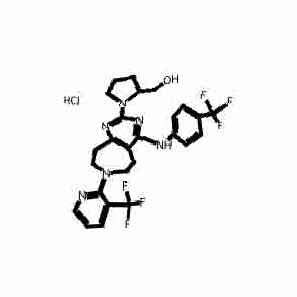 Cl.OCC1CCCN1c1nc2c(c(Nc3ccc(C(F)(F)F)cc3)n1)CCN(c1ncccc1C(F)(F)F)CC2